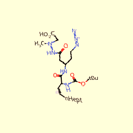 CCCCCCC/C=C\C(NC(=O)OC(C)(C)C)C(=O)NC(CCN=[N+]=[N-])CC(=O)NN(C)CC(=O)O